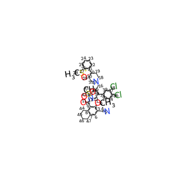 COc1c(C#N)cc2c(c1C(=O)N(C[C@@H](CCN1CCC(c3ccccc3[S+](C)[O-])CC1)c1ccc(Cl)c(Cl)c1)S(C)(=O)=O)CCCC2